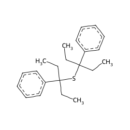 CCC(CC)(SC(CC)(CC)c1ccccc1)c1ccccc1